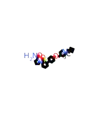 NC(=O)C1CCCN1C(=O)C1(F)CC=CC=C1c1ccc(OCC2CCN(CC3(C(F)(F)F)CCC3)CC2)cc1